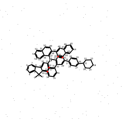 CC1(C)c2ccccc2-c2cc(N(c3ccc(-c4ccc(C5CCCCC5)cc4)cc3-c3ccccc3)c3c(-c4ccc5ccccc5c4)ccc4ccccc34)ccc21